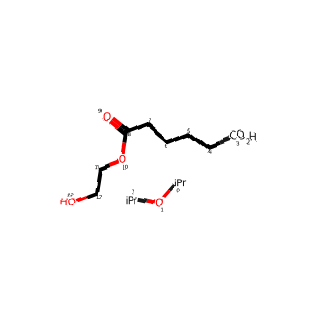 CC(C)OC(C)C.O=C(O)CCCCC(=O)OCCO